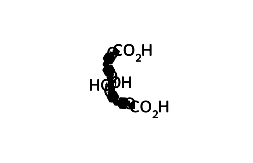 O=C(O)COc1ccc(Cc2ccc(OC[C@H](O)[C@@H](O)COc3ccc(Cc4ccc(OCC(=O)O)cc4)cc3)cc2)cc1